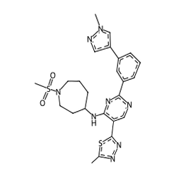 Cc1nnc(-c2cnc(-c3cccc(-c4cnn(C)c4)c3)nc2NC2CCCN(S(C)(=O)=O)CC2)s1